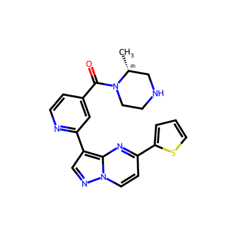 C[C@@H]1CNCCN1C(=O)c1ccnc(-c2cnn3ccc(-c4cccs4)nc23)c1